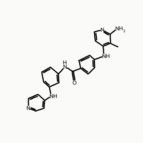 Cc1c(Nc2ccc(C(=O)Nc3cccc(Nc4ccncc4)c3)cc2)ccnc1N